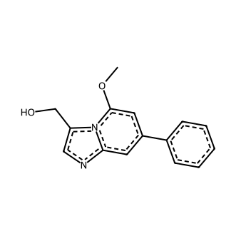 COc1cc(-c2ccccc2)cc2ncc(CO)n12